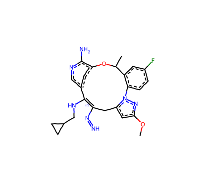 COc1cc2n(n1)-c1ccc(F)cc1C(C)Oc1cc(cnc1N)/C(NCC1CC1)=C(/N=N)C2